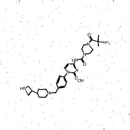 CC(C)(N)C(=O)N1CCN(C(=O)Nc2ccn(-c3ccc(CN4CCC(C5CNC5)CC4)cc3)c(=O)n2)CC1.Cl